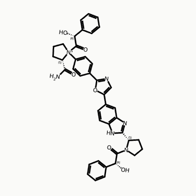 NC(=O)[C@@H]1CCC[N+]1(C(=O)[C@H](O)c1ccccc1)c1ccc(-c2ncc(-c3ccc4[nH]c([C@@H]5CCCN5C(=O)[C@H](O)c5ccccc5)nc4c3)o2)cc1